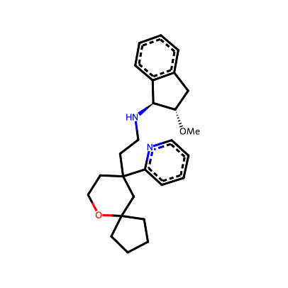 CO[C@H]1Cc2ccccc2[C@@H]1NCCC1(c2ccccn2)CCOC2(CCCC2)C1